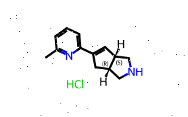 Cc1cccc(C2=C[C@@H]3CNC[C@@H]3C2)n1.Cl